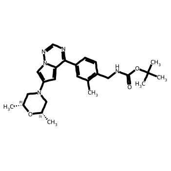 Cc1cc(-c2ncnn3cc(N4C[C@@H](C)O[C@@H](C)C4)cc23)ccc1CNC(=O)OC(C)(C)C